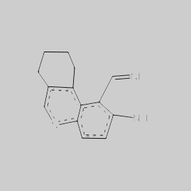 N=Cc1c(N)ccc2ncc3c(c12)CCCC3